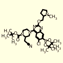 CN1CCCC1COc1nc(N2CCN(C(=O)OC(C)(C)C)C(CC#N)C2)c2cc(Cl)c(B3OC(C)(C)C(C)(C)O3)cc2n1